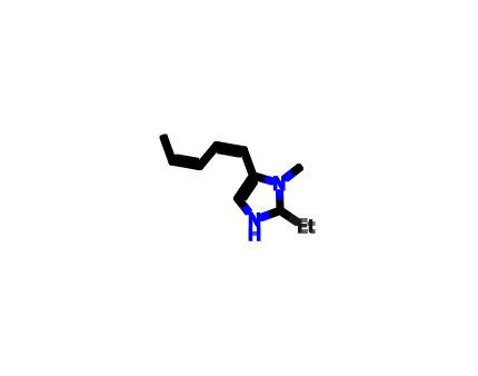 C/C=C\C=C/C1=CNC(CC)N1C